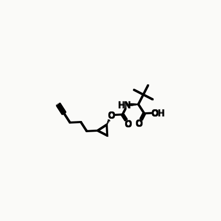 C#CCCCC1C[C@H]1OC(=O)N[C@H](C(=O)O)C(C)(C)C